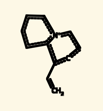 C=Cc1ccc[n+]2ccccc12